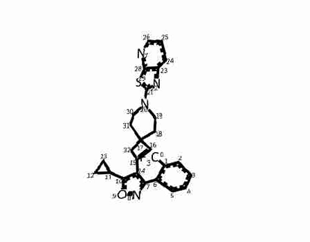 FC(F)(F)c1ccccc1-c1noc(C2CC2)c1C1=CC2(CCN(c3nc4cccnc4s3)CC2)C1